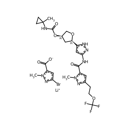 Cn1nc(Br)cc1C(=O)[O-].Cn1nc(CCOC(F)(F)F)cc1C(=O)Nc1cc([C@H]2C[C@@H](OC(=O)NC3(C)CC3)CO2)[nH]n1.[Li+]